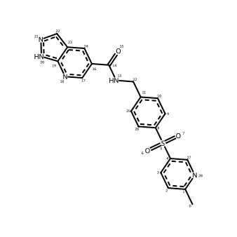 Cc1ccc(S(=O)(=O)c2ccc(CNC(=O)c3cnc4[nH]ncc4c3)cc2)cn1